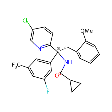 COc1ccccc1C[C@](NC(=O)C1CC1)(c1cc(F)cc(C(F)(F)F)c1)c1ccc(Cl)cn1